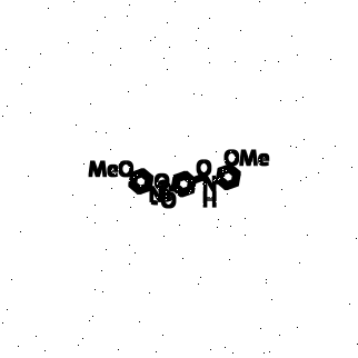 COc1ccc(N(C)S(=O)(=O)c2ccc(C(=O)Nc3cccc(OC)c3)cc2)cc1